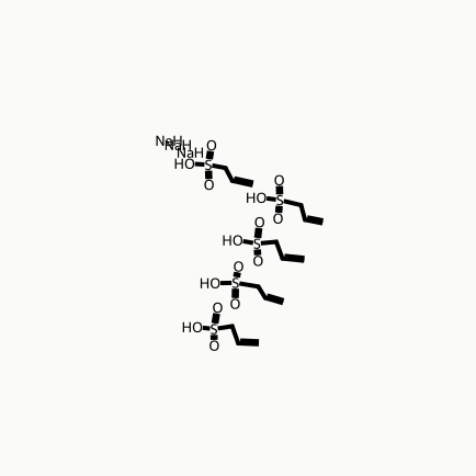 C=CCS(=O)(=O)O.C=CCS(=O)(=O)O.C=CCS(=O)(=O)O.C=CCS(=O)(=O)O.C=CCS(=O)(=O)O.[NaH].[NaH].[NaH]